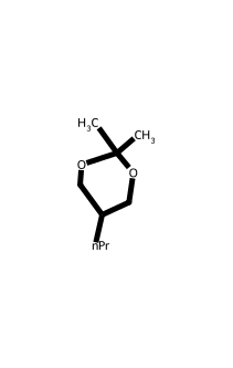 CCCC1COC(C)(C)OC1